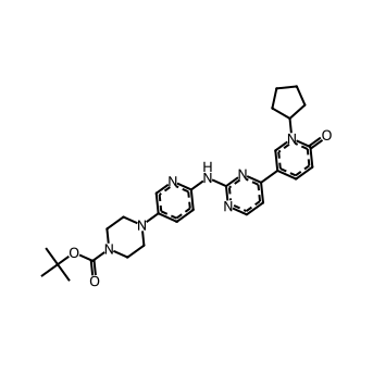 CC(C)(C)OC(=O)N1CCN(c2ccc(Nc3nccc(-c4ccc(=O)n(C5CCCC5)c4)n3)nc2)CC1